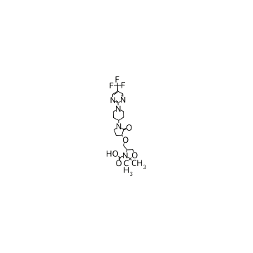 CC1(C)OCC(COC2CCN(C3CCN(c4ncc(C(F)(F)F)cn4)CC3)C2=O)N1C(=O)O